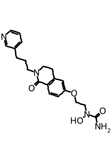 NC(=O)N(O)CCOc1ccc2c(c1)CCN(CCCc1cccnc1)C2=O